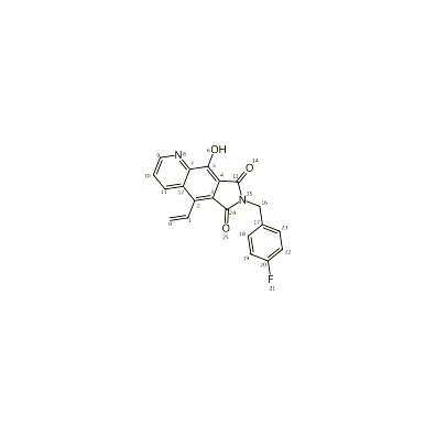 C=Cc1c2c(c(O)c3ncccc13)C(=O)N(Cc1ccc(F)cc1)C2=O